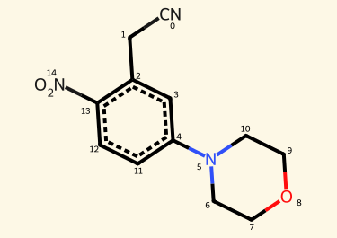 N#CCc1cc(N2CCOCC2)ccc1[N+](=O)[O-]